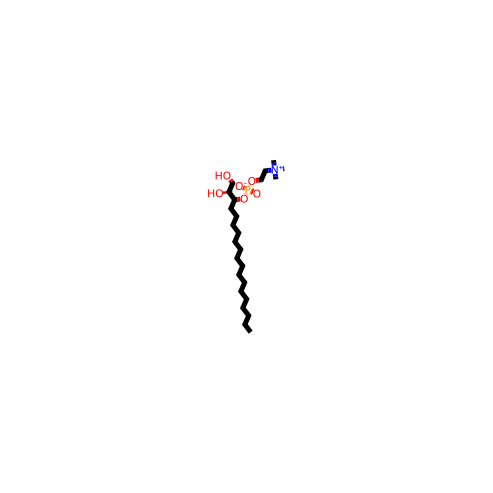 CCCCCCCCCCCCCCCCC(OP(=O)([O-])OCC[N+](C)(C)C)[C@@H](O)CO